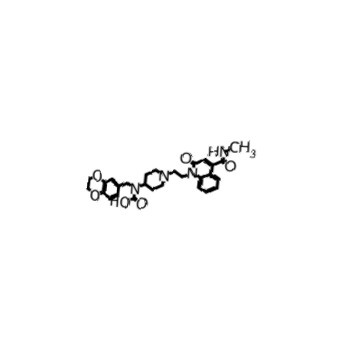 CNC(=O)c1cc(=O)n(CCN2CCC(N(Cc3ccc4c(c3)OCCO4)C(=O)O)CC2)c2ccccc12